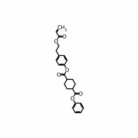 C=CC(=O)OCCc1ccc(OC(=O)C2CCC(C(=O)Oc3ccccc3)CC2)cc1